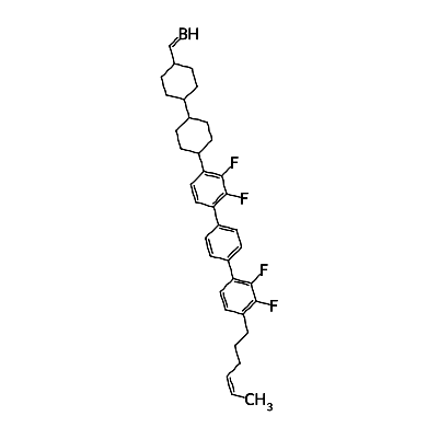 B=CC1CCC(C2CCC(c3ccc(-c4ccc(-c5ccc(CCC/C=C\C)c(F)c5F)cc4)c(F)c3F)CC2)CC1